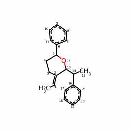 C/[C]=C1\CCC(c2ccccc2)OC1C(C)c1ccccc1